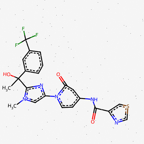 Cn1cc(-n2ccc(NC(=O)c3cscn3)cc2=O)nc1C(C)(O)c1cccc(C(F)(F)F)c1